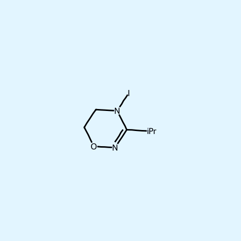 CC(C)C1=NOCCN1I